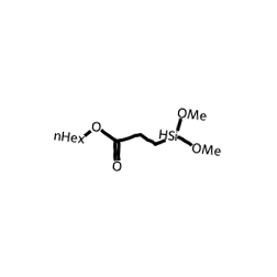 CCCCCCOC(=O)CC[SiH](OC)OC